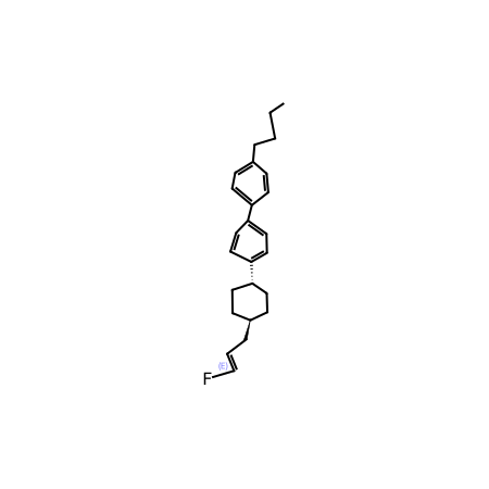 CCCCc1ccc(-c2ccc([C@H]3CC[C@H](C/C=C/F)CC3)cc2)cc1